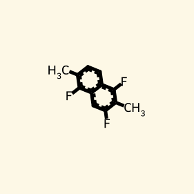 Cc1ccc2c(F)c(C)c(F)cc2c1F